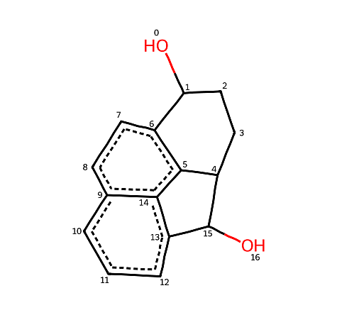 OC1CCC2c3c1ccc1cccc(c31)C2O